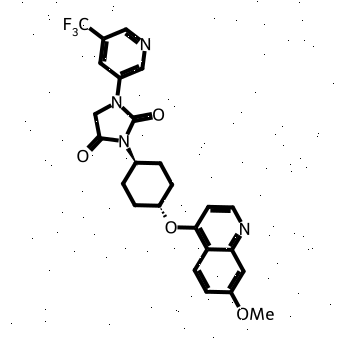 COc1ccc2c(O[C@H]3CC[C@H](N4C(=O)CN(c5cncc(C(F)(F)F)c5)C4=O)CC3)ccnc2c1